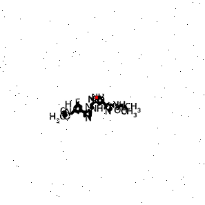 CC(C)CC(O)Nc1cncc(-c2ccc3[nH]nc(-c4nc5c(-c6cc(F)cc(CNS(C)(=O)=O)c6)cncc5[nH]4)c3c2)c1